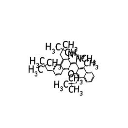 Cc1c2c(c(CC(C)(C)C)c3ccccc13)Oc1c3ccc(CC(C)(C)C)cc3c(CC(C)(C)C)c3nc[n+](C)c-2c13